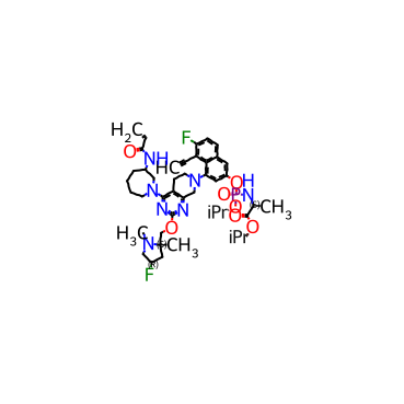 C#Cc1c(F)ccc2cc(OP(=O)(N[C@@H](C)C(=O)OC(C)C)OC(C)C)cc(N3CCc4c(nc(OC[C@]5(C)C[C@@H](F)CN5C)nc4N4CCCCC(NC(=O)C=C)C4)C3)c12